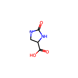 O=C1[N]CC(C(=O)O)N1